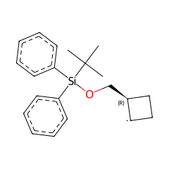 CC(C)(C)[Si](OC[C@@H]1[CH]CC1)(c1ccccc1)c1ccccc1